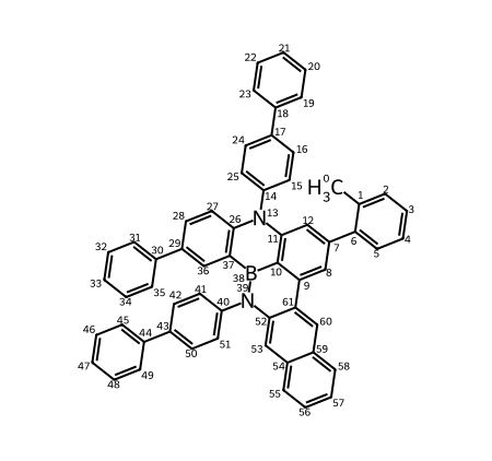 Cc1ccccc1-c1cc2c3c(c1)N(c1ccc(-c4ccccc4)cc1)c1ccc(-c4ccccc4)cc1B3N(c1ccc(-c3ccccc3)cc1)c1cc3ccccc3cc1-2